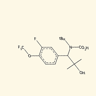 CC(C)(O)C(c1ccc(OC(F)(F)F)c(F)c1)N(C(=O)O)C(C)(C)C